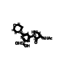 CC(=O)Nc1c[nH]n(-c2cc(N3CCOCC3)ncn2)c1=O.O=CO